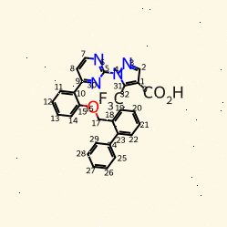 O=C(O)c1cnn(-c2nccc(-c3ccccc3OCc3ccccc3-c3ccccc3)n2)c1C(F)(F)F